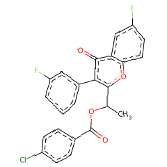 CC(OC(=O)c1ccc(Cl)cc1)c1oc2ccc(F)cc2c(=O)c1-c1cccc(F)c1